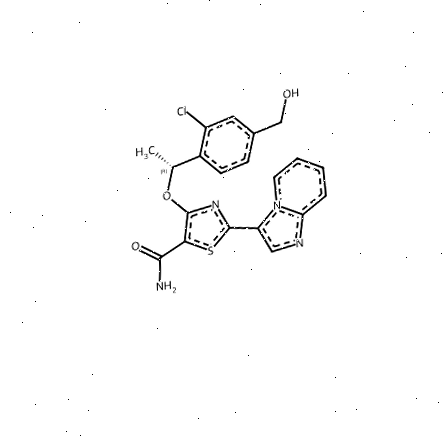 C[C@@H](Oc1nc(-c2cnc3ccccn23)sc1C(N)=O)c1ccc(CO)cc1Cl